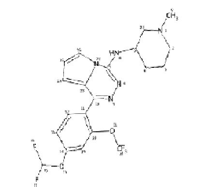 CN1CCCC(Nc2nnc(-c3ccc(OC(F)F)cc3OC(F)(F)F)c3cccn23)C1